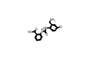 NCc1cc(Cl)ccc1NC(=O)Nc1ccccc1C(=O)O